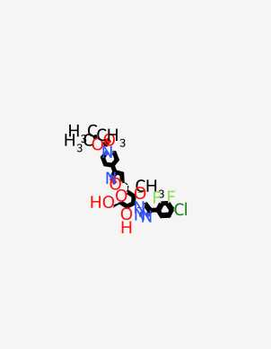 CO[C@@H]1[C@@H](n2cc(-c3ccc(Cl)c(F)c3F)nn2)[C@@H](O)[C@@H](CO)O[C@@H]1C[C@H]1CC(C2CCN(C(=O)OC(C)(C)C)CC2)=NO1